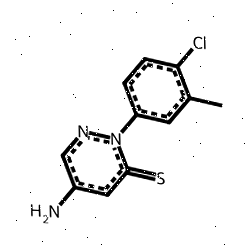 Cc1cc(-n2ncc(N)cc2=S)ccc1Cl